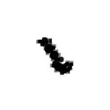 CC1=CN(c2ccc(-c3ccc(C(=O)N4CCc5cc6c(cc54)C4(CCN(C)CC4)CS6)cc3)c(C)c2)NO1